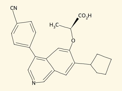 C[C@H](Oc1cc2c(-c3ccc(C#N)cc3)cncc2cc1C1CCCC1)C(=O)O